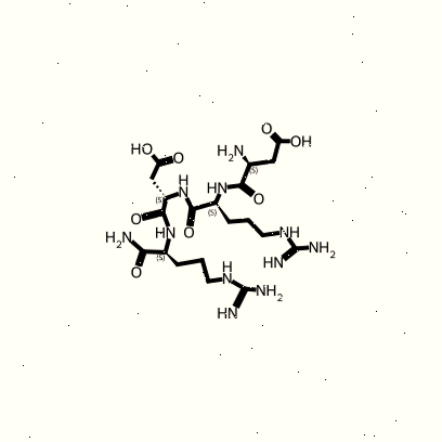 N=C(N)NCCC[C@H](NC(=O)[C@H](CC(=O)O)NC(=O)[C@H](CCCNC(=N)N)NC(=O)[C@@H](N)CC(=O)O)C(N)=O